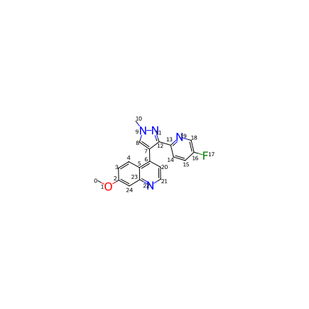 COc1ccc2c(-c3cn(C)nc3-c3ccc(F)cn3)ccnc2c1